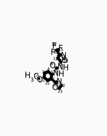 COc1ccc(NC(=O)Nc2cc(C(F)(F)F)no2)c(-c2ncco2)c1